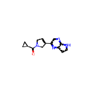 O=C(C1CC1)N1CC=C(c2cnc3[nH]ccc3n2)C1